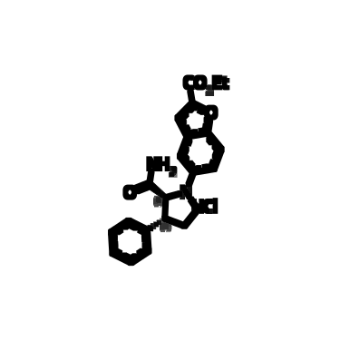 CCOC(=O)c1cc2cc(N3CC[C@H](c4ccccc4)[C@H]3C(N)=O)ccc2o1.Cl